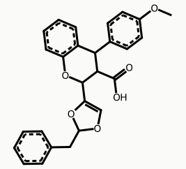 COc1ccc(C2c3ccccc3OC(C3=COC(Cc4ccccc4)O3)C2C(=O)O)cc1